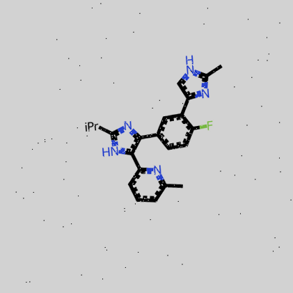 Cc1cccc(-c2[nH]c(C(C)C)nc2-c2ccc(F)c(-c3c[nH]c(C)n3)c2)n1